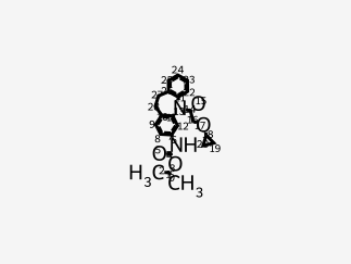 CC(C)OC(=O)Nc1ccc2c(c1)N(C(=O)COC1CC1)c1ccccc1CC2